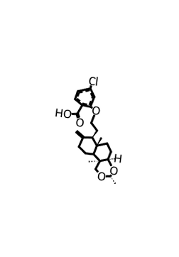 C=C1CCC2[C@]3(C)CO[C@@H](C)O[C@@H]3CC[C@@]2(C)[C@@H]1CCOc1cc(Cl)ccc1C(=O)O